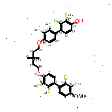 COc1ccc(-c2ccc(OCCC(C)(C)CCOc3ccc(-c4ccc(O)c(F)c4F)c(F)c3F)c(F)c2F)c(F)c1F